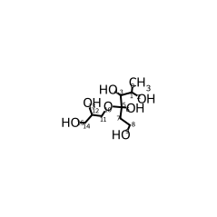 CC(O)C(O)C(O)(CCO)OCC(O)CO